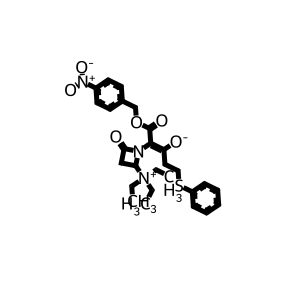 CC[N+](CC)(CC)C1CC(=O)N1C(C(=O)OCc1ccc([N+](=O)[O-])cc1)=C([O-])CCSc1ccccc1